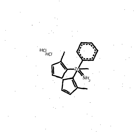 CC1=[C]([Zr]([CH3])(=[SiH2])([C]2=C(C)C=CC2)[c]2ccccc2)CC=C1.Cl.Cl